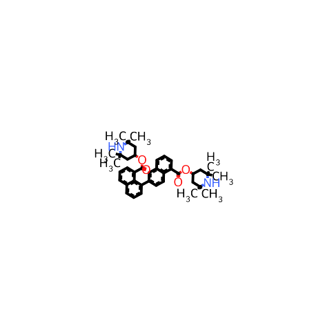 CC1(C)CC(OC(=O)c2cccc3cc(-c4cccc5cccc(C(=O)OC6CC(C)(C)NC(C)(C)C6)c45)ccc23)CC(C)(C)N1